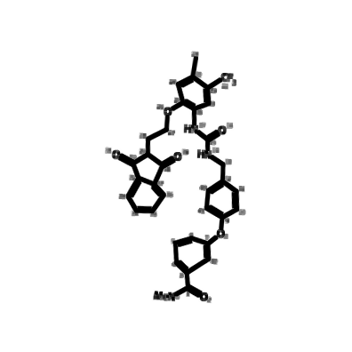 CNC(=O)c1cccc(Oc2ccc(CNC(=O)Nc3cc(C(F)(F)F)c(C)cc3OCCC3C(=O)c4ccccc4C3=O)cc2)c1